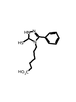 O=C(O)CCCCCN1C(c2ccccc2)=NNC1S